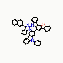 c1ccc(-n2c3ccccc3c3ccc(-c4cc5c6ccccc6oc5c5c6ccccc6n(-c6nc(-c7ccc8ccccc8c7)c7ccccc7n6)c45)cc32)cc1